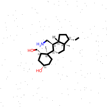 CC[C@H]1CC[C@H]2[C@H](CN)[C@@H]([C@@]3(C)CC[C@H](O)C[C@@H]3CO)CC[C@]12C